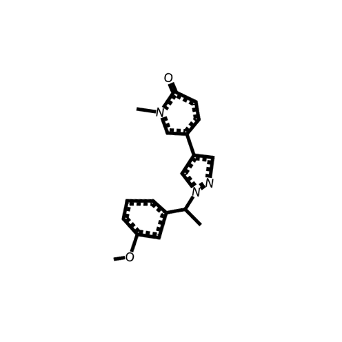 COc1cccc(C(C)n2cc(-c3ccc(=O)n(C)c3)cn2)c1